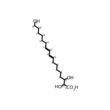 O=C(O)C(O)C(O)CCCCCC=CC=CCCCCCCO